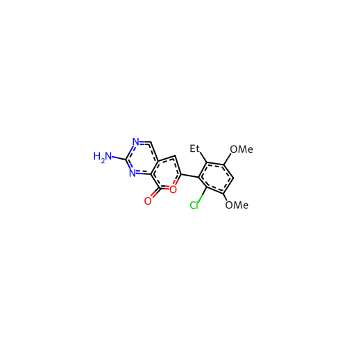 CCc1c(OC)cc(OC)c(Cl)c1-c1cc2cnc(N)nc2c(=O)o1